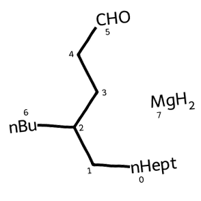 CCCCCCCCC(CCC=O)CCCC.[MgH2]